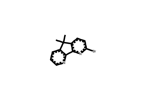 CC1(C)c2cccnc2-c2nc(Br)ccc21